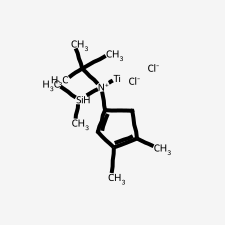 CC1=C(C)CC([N+]([Ti])([SiH](C)C)C(C)(C)C)=C1.[Cl-].[Cl-]